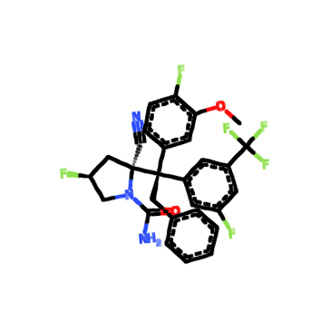 COc1cc([C@](Cc2ccccc2)(c2cc(F)cc(C(F)(F)F)c2)[C@]2(C#N)C[C@H](F)CN2C(N)=O)ccc1F